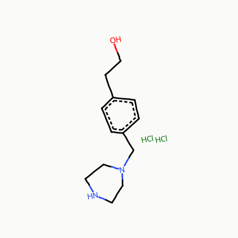 Cl.Cl.OCCc1ccc(CN2CCNCC2)cc1